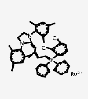 CC(=CC=P(c1ccccc1)(c1ccccc1)c1cccc(Cl)c1Cl)C=C1N(c2c(C)cc(C)cc2C)CCN1c1c(C)cc(C)cc1C.[Ru+2]